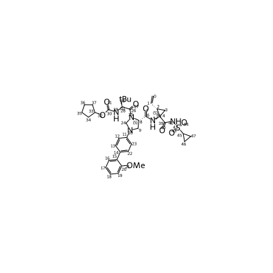 C=C[C@@H]1C[C@]1(NC(=O)[C@@H]1CN(c2ccc(-c3ccccc3OC)cc2)CN1C(=O)[C@@H](NC(=O)OC1CCCC1)C(C)(C)C)C(=O)NS(=O)(=O)C1CC1